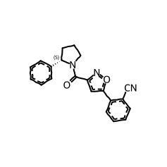 N#Cc1ccccc1-c1cc(C(=O)N2CCC[C@H]2c2ccccc2)no1